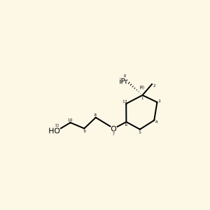 CC(C)[C@]1(C)CCCC(OCCCO)C1